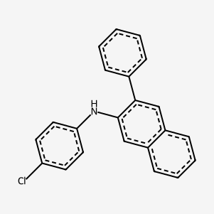 Clc1ccc(Nc2cc3ccccc3cc2-c2ccccc2)cc1